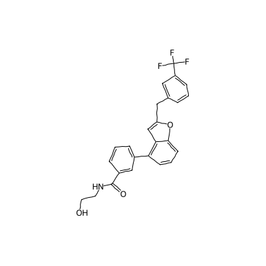 O=C(NCCO)c1cccc(-c2cccc3oc(Cc4cccc(C(F)(F)F)c4)cc23)c1